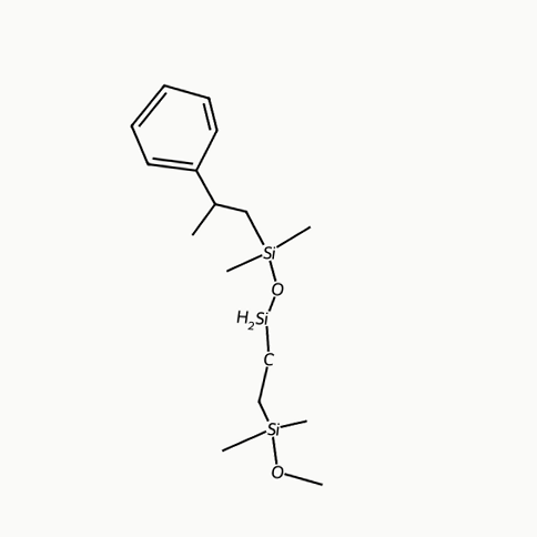 CO[Si](C)(C)CC[SiH2]O[Si](C)(C)CC(C)c1ccccc1